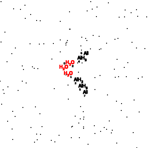 O.O.O.[AlH3].[AlH3].[AlH3].[Al].[Al]